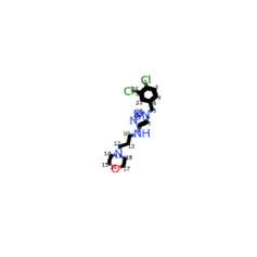 Clc1ccc(Cn2cc(NCCCN3CCOCC3)nn2)cc1Cl